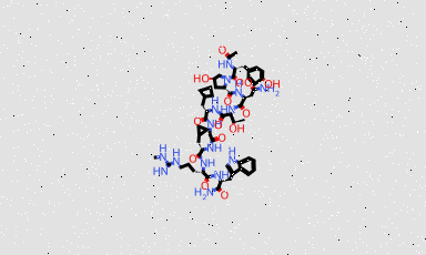 CNC(=N)NCCC[C@H](NC(=O)[C@H](CC1CC1)NC(=O)CNC(=O)[C@H](CC1CCC1)NC(=O)[C@@H](NC(=O)[C@H](CC(N)=O)NC(=O)[C@@H]1C[C@@H](O)CN1C(=O)[C@@H](Cc1ccc(O)cc1)NC(C)=O)[C@@H](C)O)C(=O)N[C@@H](Cc1c[nH]c2ccccc12)C(N)=O